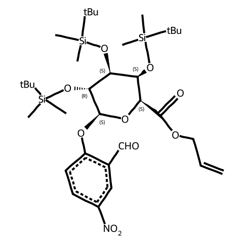 C=CCOC(=O)[C@H]1O[C@@H](Oc2ccc([N+](=O)[O-])cc2C=O)[C@H](O[Si](C)(C)C(C)(C)C)[C@@H](O[Si](C)(C)C(C)(C)C)[C@H]1O[Si](C)(C)C(C)(C)C